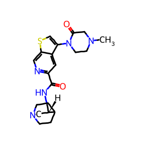 CN1CCN(c2csc3cnc(C(=O)N[C@H]4CN5CCC4CC5)cc23)C(=O)C1